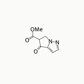 COC(=O)C1Cn2nccc2C1=O